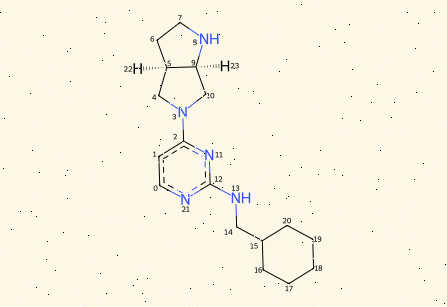 c1cc(N2C[C@H]3CCN[C@H]3C2)nc(NCC2CCCCC2)n1